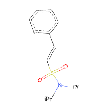 CC(C)N(C(C)C)S(=O)(=O)/C=C/c1ccccc1